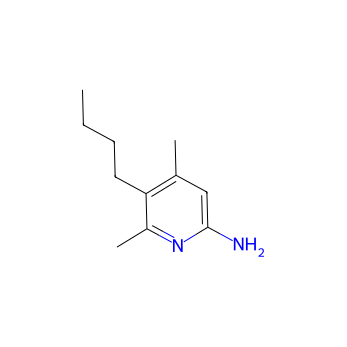 CCCCc1c(C)cc(N)nc1C